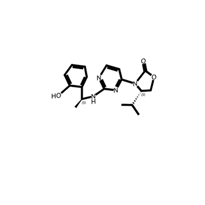 CC(C)[C@H]1COC(=O)N1c1ccnc(N[C@@H](C)c2ccccc2O)n1